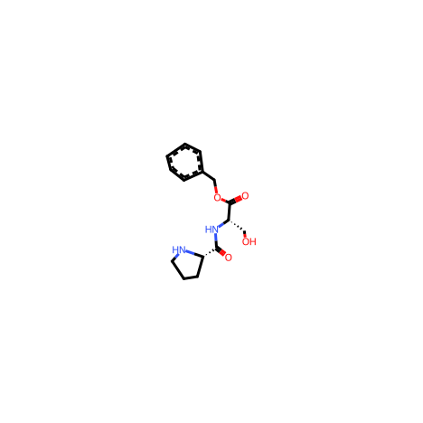 O=C(N[C@@H](CO)C(=O)OCc1ccccc1)[C@@H]1CCCN1